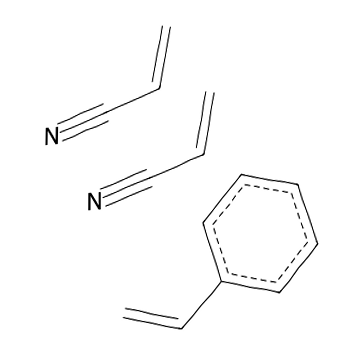 C=CC#N.C=CC#N.C=Cc1ccccc1